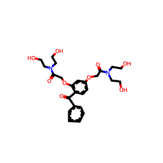 O=C(c1ccccc1)c1ccc(OCC(=O)N(CCO)CCO)cc1OCC(=O)N(CCO)CCO